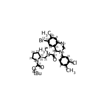 Cc1ccc(N2C=Nc3cc(C)c(Br)cc3[C@H]2C(=O)N(C)C[C@@H]2CCCN2C(=O)OC(C)(C)C)cc1Cl